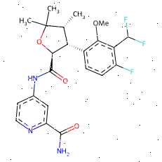 COc1c([C@@H]2[C@@H](C(=O)Nc3ccnc(C(N)=O)c3)OC(C)(C)[C@@H]2C)ccc(F)c1C(F)F